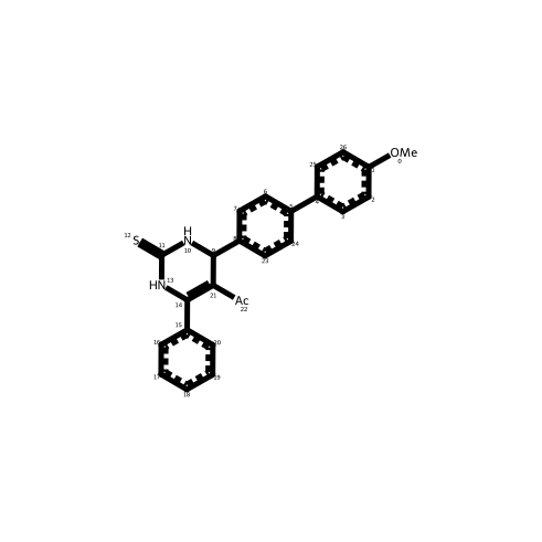 COc1ccc(-c2ccc(C3NC(=S)NC(c4ccccc4)=C3C(C)=O)cc2)cc1